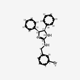 Brc1cccc(CNC2=N[C@@H](c3ccccc3)[C@@H](c3ccccc3)N2)c1